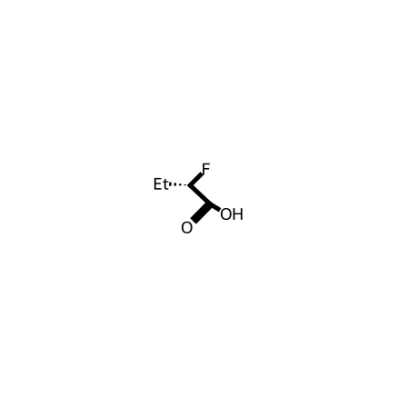 CC[C@H](F)C(=O)O